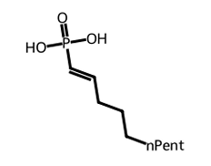 CCCCCCCCC=CP(=O)(O)O